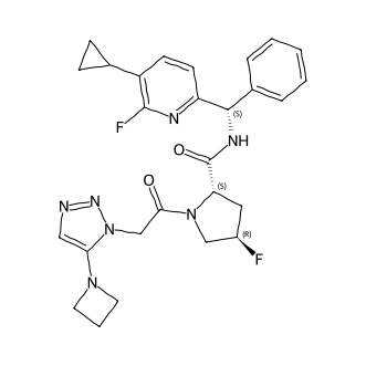 O=C(N[C@@H](c1ccccc1)c1ccc(C2CC2)c(F)n1)[C@@H]1C[C@@H](F)CN1C(=O)Cn1nncc1N1CCC1